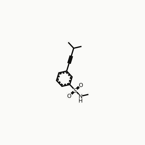 CNS(=O)(=O)c1cccc(C#CC(C)C)c1